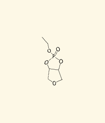 CCOP1(=O)OC2COCC2O1